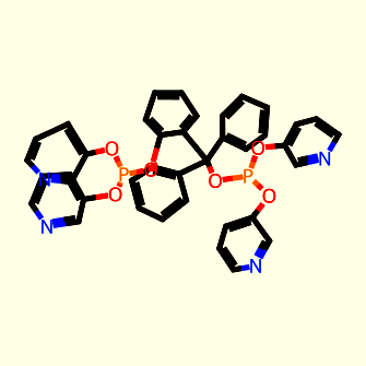 c1ccc(C(OP(Oc2cccnc2)Oc2cccnc2)(c2ccccc2)c2ccccc2OP(Oc2cccnc2)Oc2cccnc2)cc1